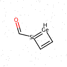 O=C[Si]1=[GeH][CH]=C1